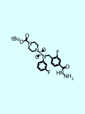 CC(C)(C)OC(=O)N1CCN(S(=O)(=O)N(Cc2ccc(C(=O)NN)cc2F)c2cccc(F)c2)CC1